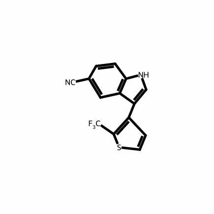 N#Cc1ccc2[nH]cc(-c3ccsc3C(F)(F)F)c2c1